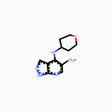 O=C(O)c1cnc2[nH]ncc2c1NC1CCOCC1